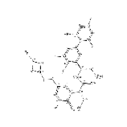 Cc1cc(C)c(-c2cc(C)c(F)c([C@H](CC(=O)O)NC(=O)[C@H](CC(C)C)n3nc(CCN4CC(F)C4)cc(C)c3=O)c2)c(F)c1